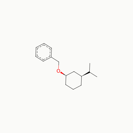 CC(C)[C@H]1CCC[C@@H](OCc2ccccc2)C1